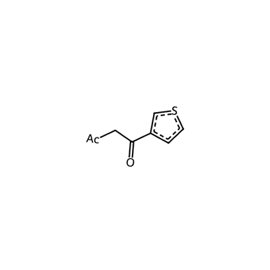 CC(=O)CC(=O)c1ccsc1